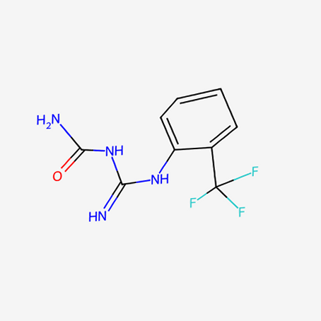 N=C(NC(N)=O)Nc1ccccc1C(F)(F)F